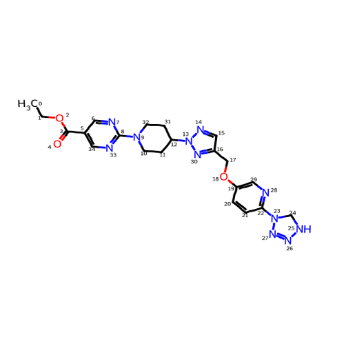 CCOC(=O)c1cnc(N2CCC(n3ncc(COc4ccc(N5CNN=N5)nc4)n3)CC2)nc1